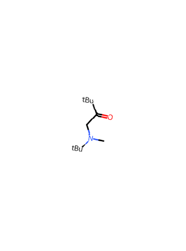 CN(CC(=O)C(C)(C)C)C(C)(C)C